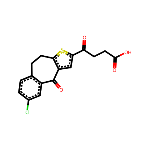 O=C(O)CCC(=O)c1cc2c(s1)CCc1ccc(Cl)cc1C2=O